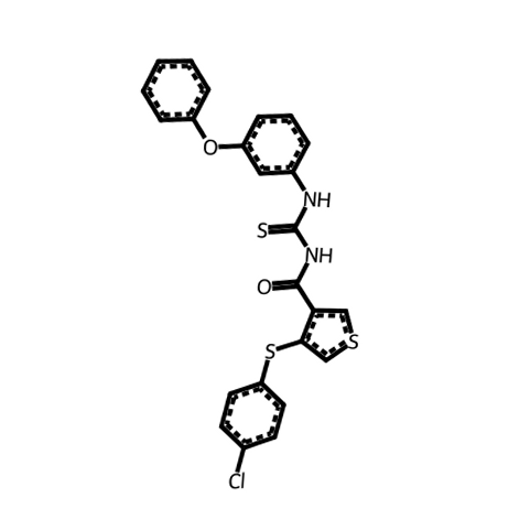 O=C(NC(=S)Nc1cccc(Oc2ccccc2)c1)c1cscc1Sc1ccc(Cl)cc1